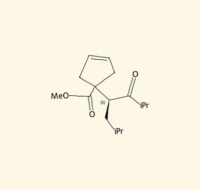 COC(=O)C1([C@H](CC(C)C)C(=O)C(C)C)CC=CC1